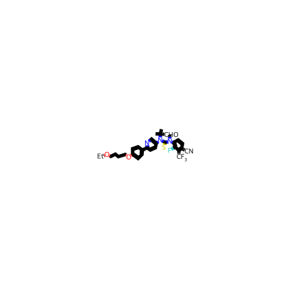 CCOCCCCOc1ccc(-c2ccc(N(C(=S)N(C)c3ccc(C#N)c(C(F)(F)F)c3F)C(C)(C)C=O)cn2)cc1